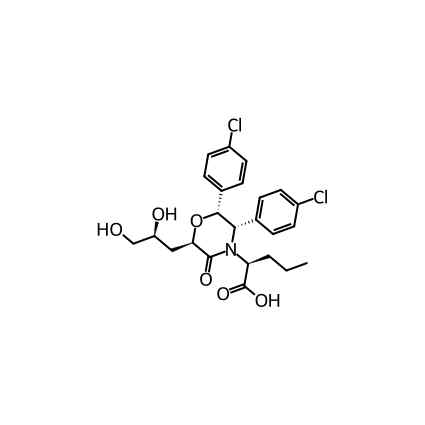 CCC[C@@H](C(=O)O)N1C(=O)[C@@H](C[C@H](O)CO)O[C@H](c2ccc(Cl)cc2)[C@@H]1c1ccc(Cl)cc1